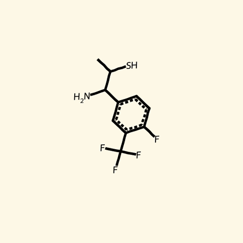 CC(S)C(N)c1ccc(F)c(C(F)(F)F)c1